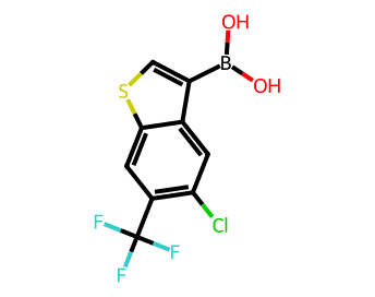 OB(O)c1csc2cc(C(F)(F)F)c(Cl)cc12